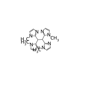 Cn1ccnc1C(c1nccn1C)C(c1nccn1C)c1nccn1C